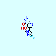 Cc1nc(C)c(-c2cc(C(F)(F)F)nn2C)c(O)c1C(N)=O